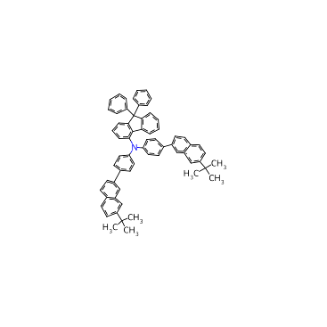 CC(C)(C)c1ccc2ccc(-c3ccc(N(c4ccc(-c5ccc6ccc(C(C)(C)C)cc6c5)cc4)c4cccc5c4-c4ccccc4C5(c4ccccc4)c4ccccc4)cc3)cc2c1